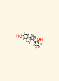 Oc1ccc2c(c1)CCc1c-2noc1-c1ccccc1O